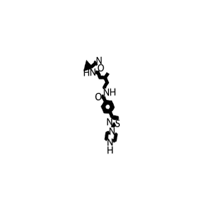 CC(CCNC(=O)c1ccc(-c2csc(N3CCNCC3)n2)cc1)CC(=O)NC1(C#N)CC1